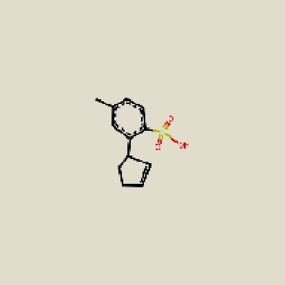 Cc1ccc(S(=O)(=O)O)c(C2C=CCC2)c1